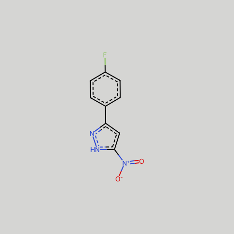 O=[N+]([O-])c1cc(-c2ccc(F)cc2)n[nH]1